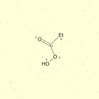 CCC(=O)OO